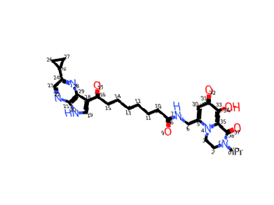 CC(C)N1CCn2c(CNC(=O)CCCCCCC(=O)c3c[nH]c4ncc(C5CC5)nc34)cc(=O)c(O)c2C1=O